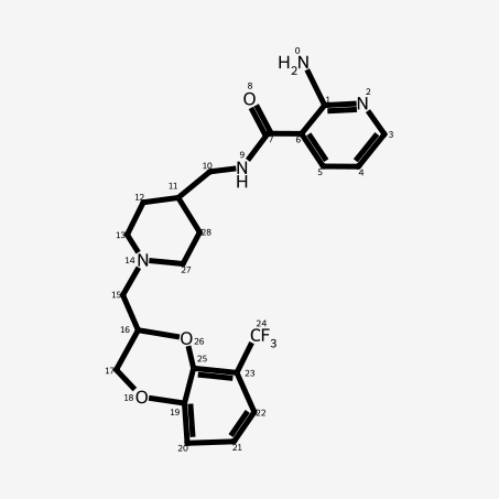 Nc1ncccc1C(=O)NCC1CCN(CC2COc3cccc(C(F)(F)F)c3O2)CC1